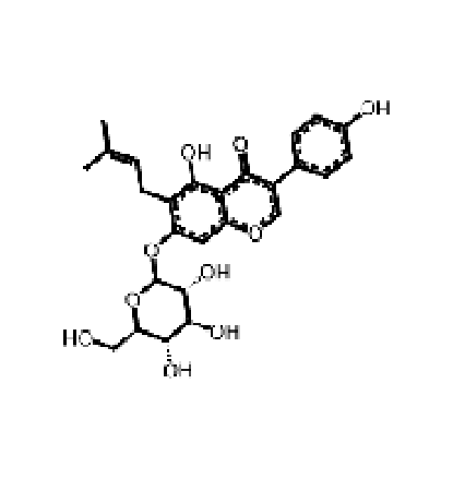 CC(C)=CCc1c(O[C@@H]2O[C@H](CO)[C@@H](O)[C@H](O)[C@H]2O)cc2occ(-c3ccc(O)cc3)c(=O)c2c1O